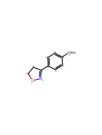 COc1ccc(C2=NO[CH]C2)cc1